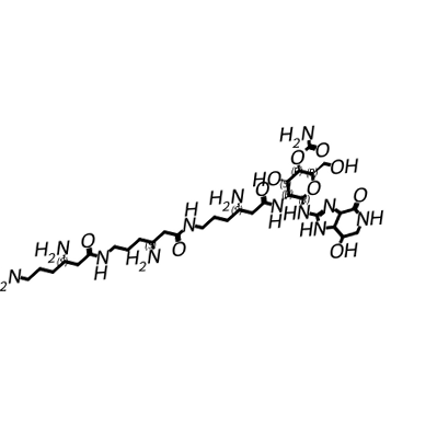 NCCC[C@H](N)CC(=O)NCCC[C@H](N)CC(=O)NCCC[C@H](N)CC(=O)N[C@@H]1[C@H](O)[C@@H](OC(N)=O)[C@@H](CO)O[C@H]1NC1=NC2C(=O)NCC(O)C2N1